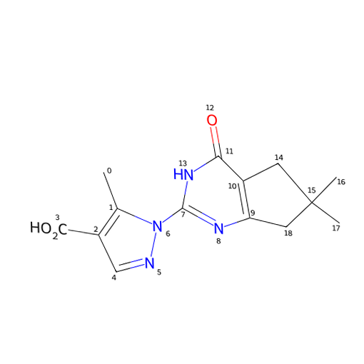 Cc1c(C(=O)O)cnn1-c1nc2c(c(=O)[nH]1)CC(C)(C)C2